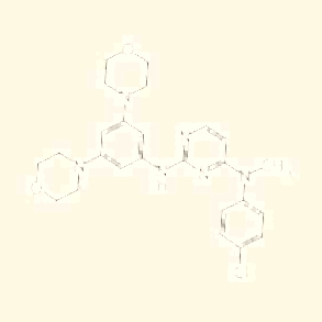 CN(c1ccc(Cl)cc1)c1ccnc(Nc2cc(N3CCOCC3)cc(N3CCOCC3)c2)n1